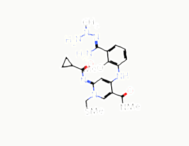 CNC(=O)c1cn(CSC)/c(=N/C(=O)C2CC2)cc1Nc1cccc(/C(N)=N/N(C)N)c1OC